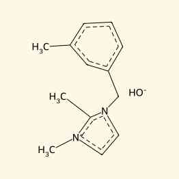 Cc1cccc(Cn2cc[n+](C)c2C)c1.[OH-]